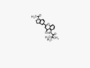 CC(=O)N1CCc2cc(-c3cc(=O)c4c(NC(=O)C(C)(C)C)cccc4o3)ccc21